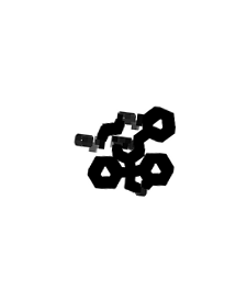 CNCC(CCc1ccccc1)C1(c2ccccc2)COc2ccccc21.O=C(O)C=CC(=O)O